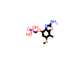 CSc1cc(OCP(=O)(O)O)c2nc(N)sc2c1C